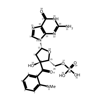 CNc1ccccc1C(=O)[C@]1(O)C[C@H](n2cnc3c(=O)[nH]c(N)nc32)O[C@@H]1COP(=O)(O)O